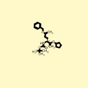 C=C(CC[C@H](NC(=O)OC(C)(C)C)C(=C)OC1CCCC1)OCc1ccccc1